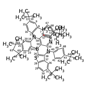 CC(C)(C)c1ccc(-c2cc(C(C)(C)C)ccc2N2c3cc4c(cc3B3c5sc6ccc(C(C)(C)C)cc6c5N(c5ccc(C(C)(C)C)cc5)c5nc(C(C)(C)C)cc2c53)C(C)(C)CC4(C)C)cc1